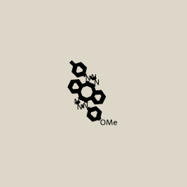 COc1ccc(-n2nnc3c2-c2ccccc2-c2nnn(-c4ccc(C)cc4)c2-c2ccccc2-3)cc1